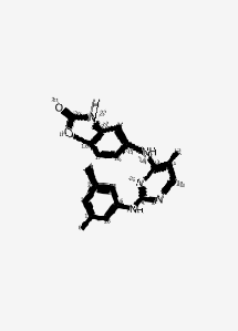 Cc1cc(C)cc(Nc2ncc(C)c(Nc3ccc4oc(=O)[nH]c4c3)n2)c1